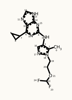 Cc1c(Nc2nc(C3CC3)c3nc[nH]c3n2)cnn1CCOC(F)F